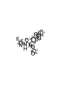 O=C(Nc1ncc(F)s1)/C(=N/O[C@@H]1CCOC1)c1ccc(S(=O)(=O)N2CCCC2)cc1